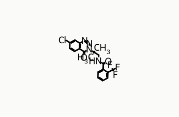 CC(C)(CNC(=O)c1ccccc1C(F)(F)F)n1nnc2cc(Cl)ccc2c1=O